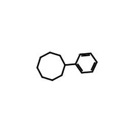 [c]1ccccc1C1CCCCCCC1